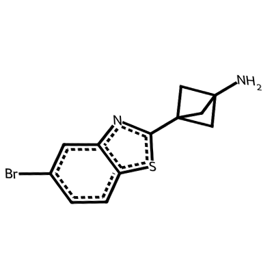 NC12CC(c3nc4cc(Br)ccc4s3)(C1)C2